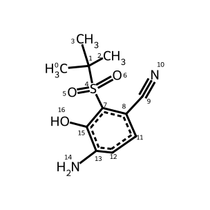 CC(C)(C)S(=O)(=O)c1c(C#N)ccc(N)c1O